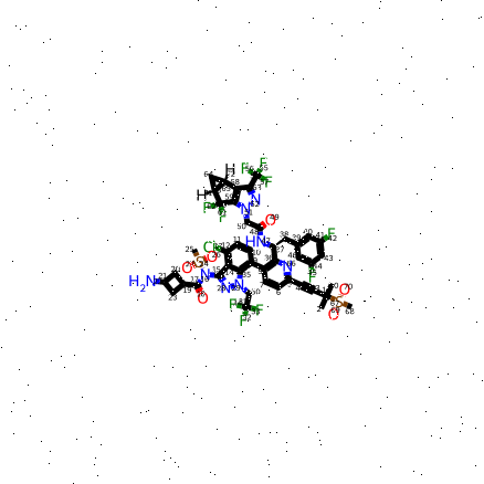 CC(C)(C#Cc1ccc(-c2ccc(Cl)c3c(N(C(=O)C4CC(N)C4)S(C)(=O)=O)nn(CC(F)(F)F)c23)c([C@H](Cc2cc(F)cc(F)c2)NC(=O)Cn2nc(C(F)(F)F)c3c2C(F)(F)[C@@H]2C[C@H]32)n1)S(C)(=O)=O